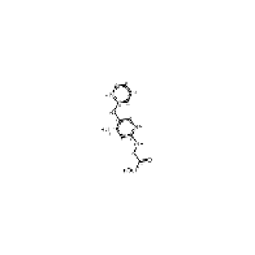 CCCCCCCCC(=O)CNc1ccc(Oc2ccccn2)cn1.Cl